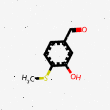 CSc1ccc(C=O)cc1O